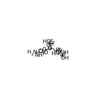 N=C(N)c1ccc(OC(=O)c2csc(CCC(=O)N[C@@H](CC(=O)O)C(=O)O)c2)c(F)c1.O=C(O)C(F)(F)F